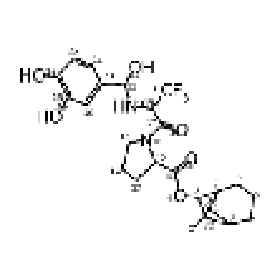 CC1(C)C2CCCC1C(OC(=O)C1CCCN1C(=O)C(NC(O)c1ccc(O)c(O)c1)C(F)(F)F)C2